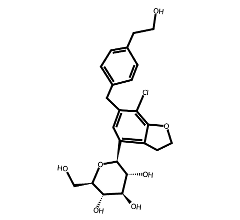 OCCc1ccc(Cc2cc([C@@H]3O[C@H](CO)[C@@H](O)[C@H](O)[C@H]3O)c3c(c2Cl)OCC3)cc1